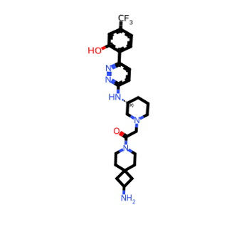 NC1CC2(CCN(C(=O)CN3CCC[C@@H](Nc4ccc(-c5ccc(C(F)(F)F)cc5O)nn4)C3)CC2)C1